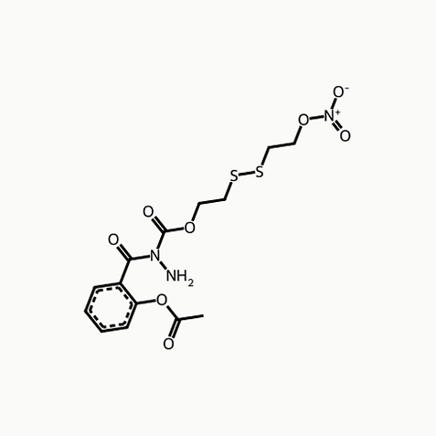 CC(=O)Oc1ccccc1C(=O)N(N)C(=O)OCCSSCCO[N+](=O)[O-]